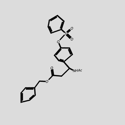 CC(=O)NC(CC(=O)OCc1ccccc1)c1ccc(OS(=O)(=O)c2ccccc2)cc1